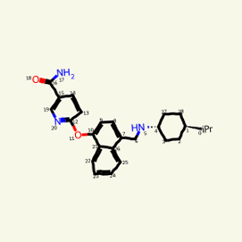 CC(C)[C@H]1CC[C@H](NCc2ccc(Oc3ccc(C(N)=O)cn3)c3ccccc23)CC1